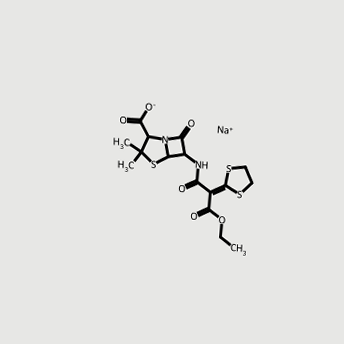 CCOC(=O)C(C(=O)NC1C(=O)N2C1SC(C)(C)C2C(=O)[O-])=C1SCCS1.[Na+]